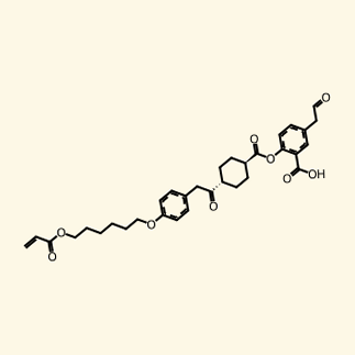 C=CC(=O)OCCCCCCOc1ccc(CC(=O)[C@H]2CC[C@H](C(=O)Oc3ccc(CC=O)cc3C(=O)O)CC2)cc1